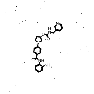 Nc1ccccc1NC(=O)c1ccc(N2CC[C@H](OC(=O)NCc3cccnc3)C2)cc1